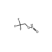 O=[PH]OCC(F)(F)F